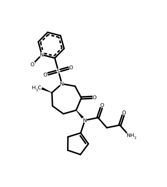 C[C@@H]1CC[C@H](N(C(=O)CC(N)=O)C2=CCCC2)C(=O)CN1S(=O)(=O)c1cccc[n+]1[O-]